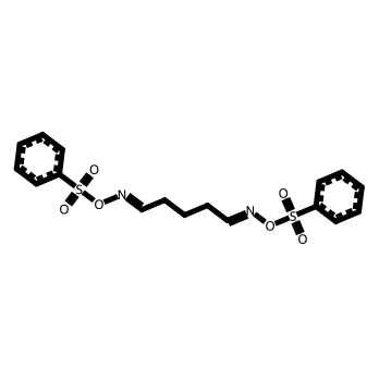 O=S(=O)(ON=CCCCC=NOS(=O)(=O)c1ccccc1)c1ccccc1